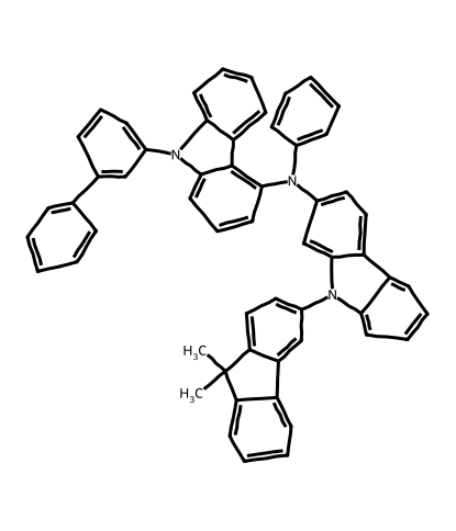 CC1(C)c2ccccc2-c2cc(-n3c4ccccc4c4ccc(N(c5ccccc5)c5cccc6c5c5ccccc5n6-c5cccc(-c6ccccc6)c5)cc43)ccc21